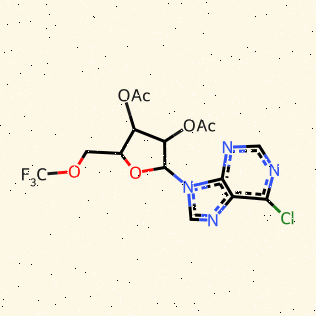 CC(=O)OC1C(COC(F)(F)F)OC(n2cnc3c(Cl)ncnc32)C1OC(C)=O